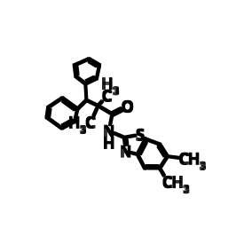 Cc1cc2nc(NC(=O)C(C)(C)C(c3ccccc3)c3ccccc3)sc2cc1C